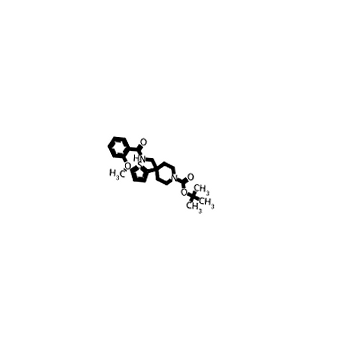 COc1ccccc1C(=O)NCC1(c2cccs2)CCN(C(=O)OC(C)(C)C)CC1